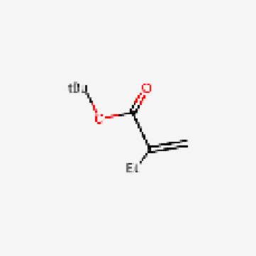 C=C(CC)C(=O)OC(C)(C)C